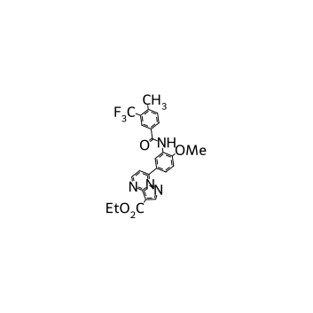 CCOC(=O)c1cnn2c(-c3ccc(OC)c(NC(=O)c4ccc(C)c(C(F)(F)F)c4)c3)ccnc12